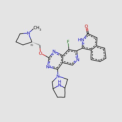 CN1CCC[C@H]1COc1nc(N2CC3CCC(C2)N3)c2cnc(-c3[nH]c(=O)cc4ccccc34)c(F)c2n1